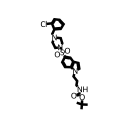 CC(C)(C)OC(=O)NCCCn1ccc2cc(S(=O)(=O)N3CCN(Cc4ccccc4Cl)CC3)ccc21